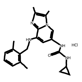 Cc1cccc(C)c1CNc1cc(NC(=O)NC2CC2)cn2c(C)c(C)nc12.Cl